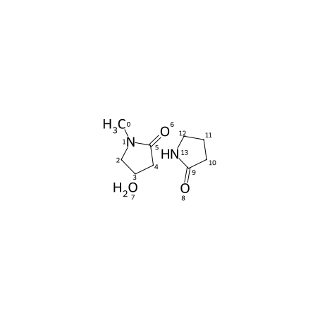 CN1CCCC1=O.O.O=C1CCCN1